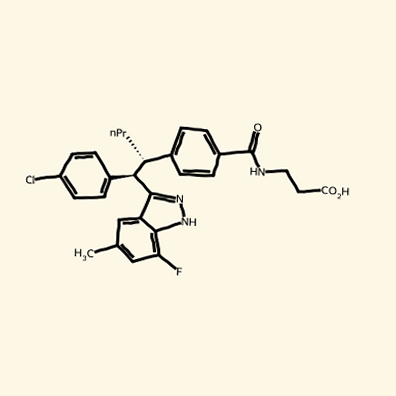 CCC[C@H](c1ccc(C(=O)NCCC(=O)O)cc1)[C@H](c1ccc(Cl)cc1)c1n[nH]c2c(F)cc(C)cc12